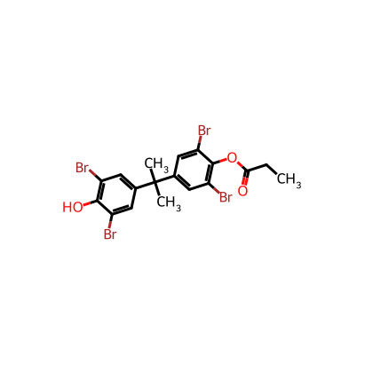 CCC(=O)Oc1c(Br)cc(C(C)(C)c2cc(Br)c(O)c(Br)c2)cc1Br